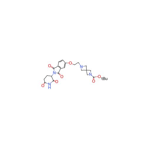 CC(C)(C)OC(=O)N1CC2(CN(CCOc3ccc4c(c3)C(=O)N(C3CCC(=O)NC3=O)C4=O)C2)C1